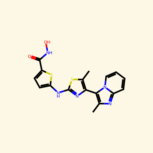 Cc1nc2ccccn2c1-c1nc(Nc2ccc(C(=O)NO)s2)sc1C